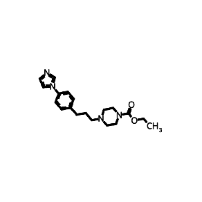 CCOC(=O)N1CCN(CCCc2ccc(-n3ccnc3)cc2)CC1